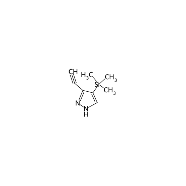 C#Cc1n[nH]cc1[Si](C)(C)C